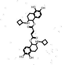 O=C(/C=C/C(=O)OC1c2ccc(O)c(O)c2CCC1NC1CCC1)OC1c2ccc(O)c(O)c2CCC1NC1CCC1